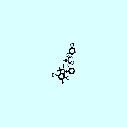 CC1(C)CN(c2ccccc2NC(=O)Nc2nc3ccc(Cl)cc3s2)c2c(O)c(F)cc(Br)c21